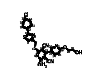 N#Cc1c(N)nc(SCc2csc(-c3ccc(Cl)cc3)n2)c(C#N)c1-c1ccc(OCCO)nc1